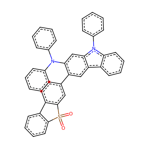 O=S1(=O)c2ccccc2-c2ccc(-c3cc4c5ccccc5n(-c5ccccc5)c4cc3N(c3ccccc3)c3ccccc3)cc21